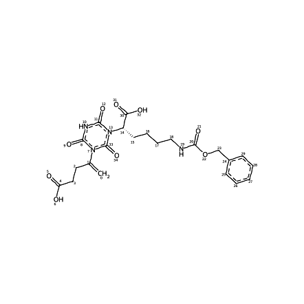 C=C(CCC(=O)O)n1c(=O)[nH]c(=O)n([C@@H](CCCCNC(=O)OCc2ccccc2)C(=O)O)c1=O